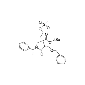 C[C@H](c1ccccc1)N1C[C@@](CCOS(C)(=O)=O)(C(=O)OC(C)(C)C)[C@H](COCc2ccccc2)C1=O